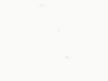 COC(=O)c1ccc(COc2ccc3cc(-c4csc(-c5ccccc5)n4)ccc3c2Br)cc1